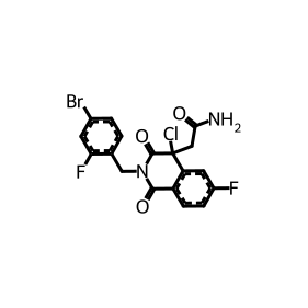 NC(=O)CC1(Cl)C(=O)N(Cc2ccc(Br)cc2F)C(=O)c2ccc(F)cc21